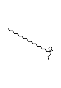 CCCCCCCCCCCCCCCCCCC1(CCC)CO1